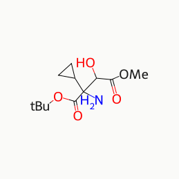 COC(=O)C(O)C(N)(C(=O)OC(C)(C)C)C1CC1